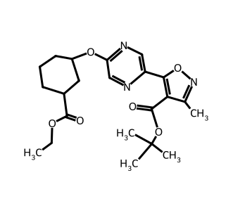 CCOC(=O)C1CCCC(Oc2cnc(-c3onc(C)c3C(=O)OC(C)(C)C)cn2)C1